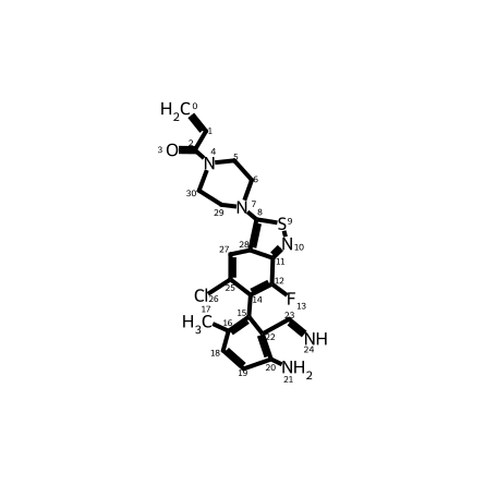 C=CC(=O)N1CCN(c2snc3c(F)c(-c4c(C)ccc(N)c4C=N)c(Cl)cc23)CC1